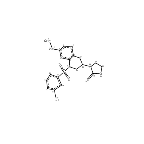 O=CNc1cnc2c(c1)N(S(=O)(=O)c1cccc(C(F)(F)F)c1)CC(N1CCOC1=O)C2